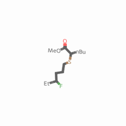 CCCCC(SCCCC(F)CC)C(=O)OC